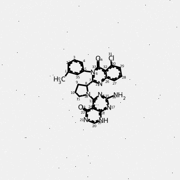 Cc1cccc(-n2c(C3CCCN3c3nc(N)nc4[nH]cnc(=O)c34)nc3cccc(Cl)c3c2=O)c1